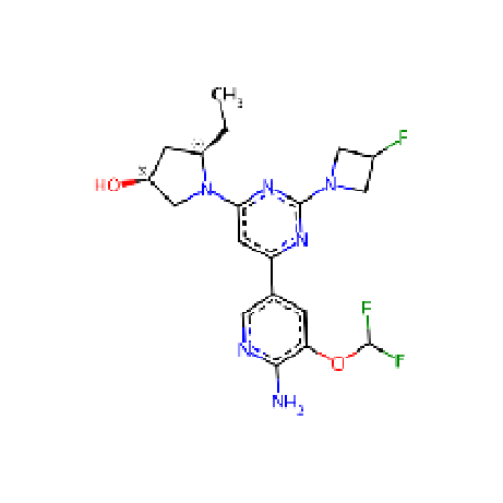 CC[C@@H]1C[C@H](O)CN1c1cc(-c2cnc(N)c(OC(F)F)c2)nc(N2CC(F)C2)n1